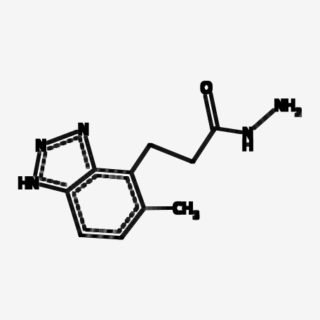 Cc1ccc2[nH]nnc2c1CCC(=O)NN